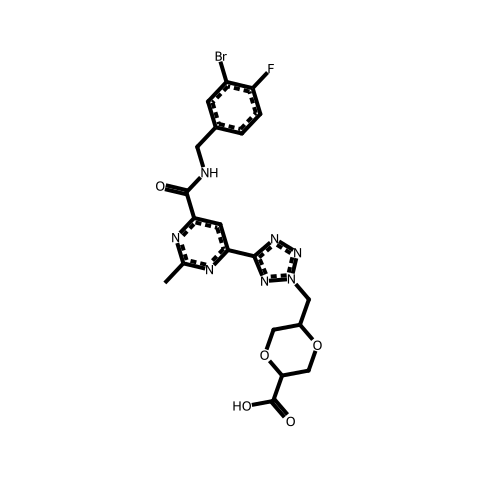 Cc1nc(C(=O)NCc2ccc(F)c(Br)c2)cc(-c2nnn(CC3COC(C(=O)O)CO3)n2)n1